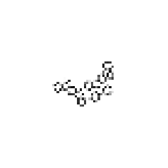 CC1(C)c2ccccc2-c2cc3c4ccccc4n(-c4ccc5c(c4)C4(c6ccccc6-c6ccccc64)c4cc6oc7ccccc7c6cc4-5)c3cc21